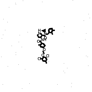 Cc1cc(Cl)c(OCCOc2ccc(C(=O)NC3CCNCC3C(=O)N(Cc3cccc(C)c3C)C3CC3)c(C)c2)c(Cl)c1